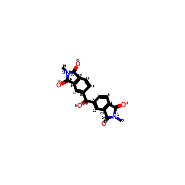 CN1C(=O)c2ccc(C(=O)c3ccc4c(c3)C(=O)N(C)C4=O)cc2C1=O